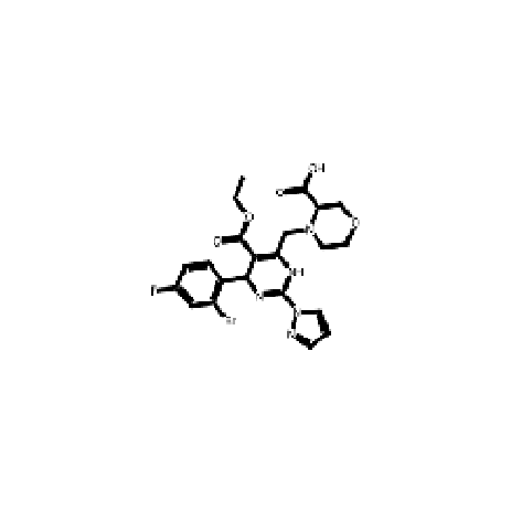 CCOC(=O)C1=C(CN2CCOCC2C(=O)O)NC(n2cccn2)=NC1c1ccc(F)cc1Br